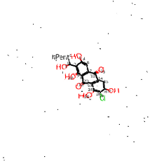 CCCCCC(O)c1c(O)cc2c(c1O)C(=O)c1c(cc(O)c(Cl)c1O)C2=O